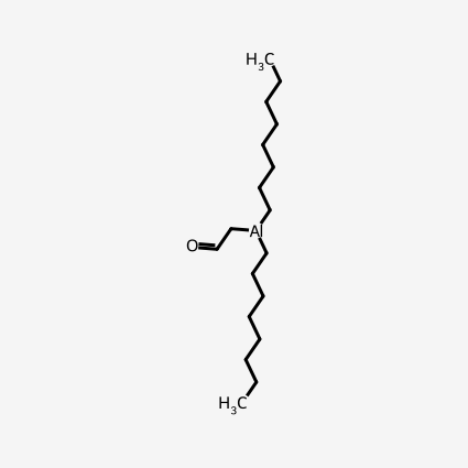 CCCCCCC[CH2][Al]([CH2]C=O)[CH2]CCCCCCC